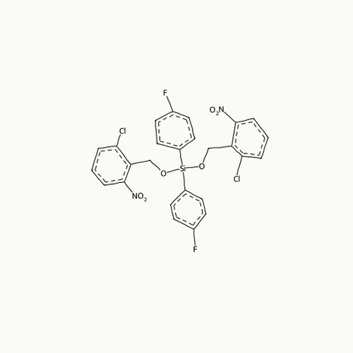 O=[N+]([O-])c1cccc(Cl)c1CO[Si](OCc1c(Cl)cccc1[N+](=O)[O-])(c1ccc(F)cc1)c1ccc(F)cc1